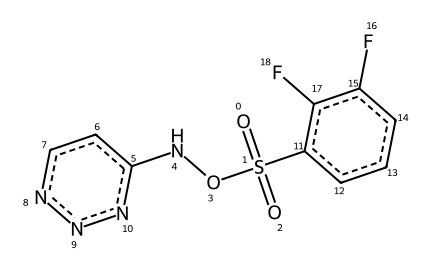 O=S(=O)(ONc1ccnnn1)c1cccc(F)c1F